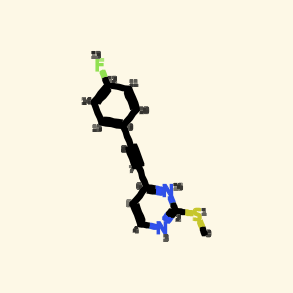 CSc1nccc(C#Cc2ccc(F)cc2)n1